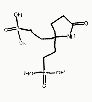 O=C1CCC(CCP(=O)(O)O)(CCP(=O)(O)O)N1